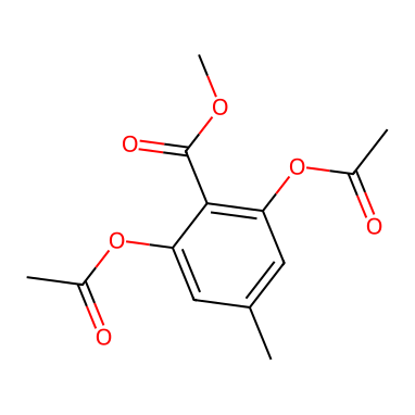 COC(=O)c1c(OC(C)=O)cc(C)cc1OC(C)=O